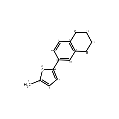 Cc1ccc(-c2ccc3c(c2)[CH]CCC3)s1